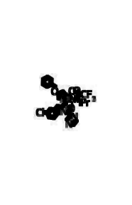 CC(C)C(NC(=O)[C@@H]1C[C@@H](OCc2ccccc2)CN1C(=O)C(Cc1cccc(Cl)c1)NC(=O)c1cnccn1)C(=O)C(F)(F)F